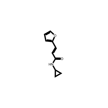 O=C(C=Cc1ccco1)NC1CC1